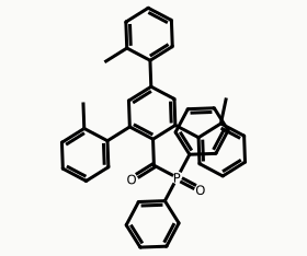 Cc1ccccc1-c1cc(-c2ccccc2C)c(C(=O)P(=O)(c2ccccc2)c2ccccc2)c(-c2ccccc2C)c1